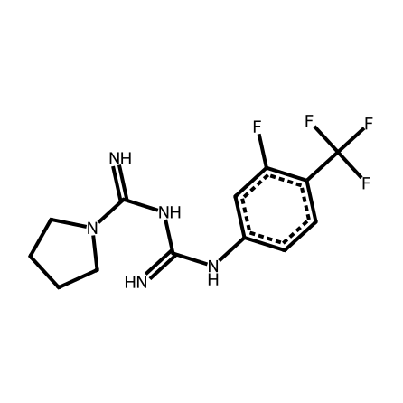 N=C(NC(=N)N1CCCC1)Nc1ccc(C(F)(F)F)c(F)c1